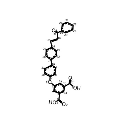 O=C(O)c1cc(Oc2ccc(-c3ccc(C=CC(=O)c4ccccc4)cc3)cc2)cc(C(=O)O)c1